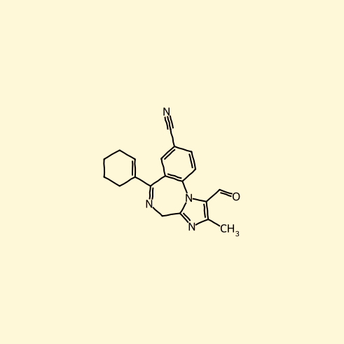 Cc1nc2n(c1C=O)-c1ccc(C#N)cc1C(C1=CCCCC1)=NC2